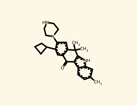 Cc1ccc2c3c([nH]c2c1)C(C)(C)c1cc(N2CCNCC2)c(C2CCC2)cc1C3=O